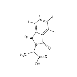 CC(C(=O)O)N1C(=O)c2c(I)c(I)c(I)c(I)c2C1=O